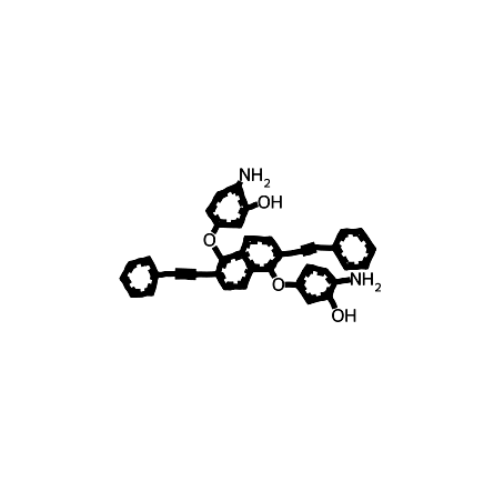 Nc1ccc(Oc2c(C#Cc3ccccc3)ccc3c(Oc4ccc(N)c(O)c4)c(C#Cc4ccccc4)ccc23)cc1O